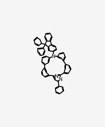 C1=CCC(C2(c3ccccc3)c3ccccc3-c3ccc(N4c5cccc(c5)-c5cccc(c5)-c5cc(-c6ccccc6)nc(n5)-c5cccc(c5)-c5cccc4c5)cc32)C=C1